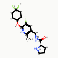 COc1nc(OC2CCC(F)(F)CC2)c(F)cc1CNC(=O)[C@H]1CCCN1